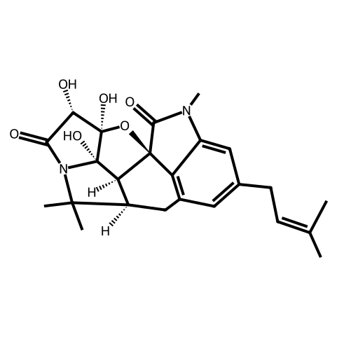 CC(C)=CCc1cc2c3c(c1)N(C)C(=O)[C@]31O[C@]3(O)[C@@H](O)C(=O)N4C(C)(C)[C@H](C2)[C@H]1[C@@]43O